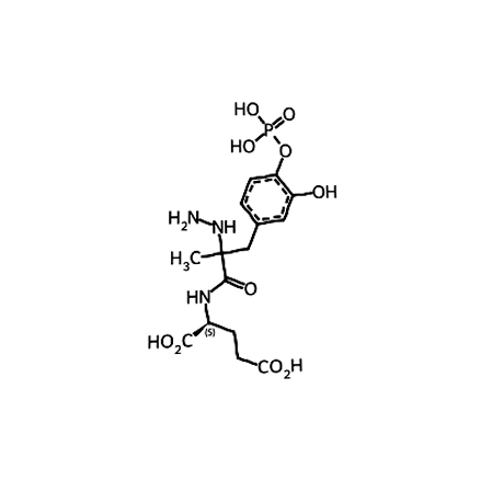 CC(Cc1ccc(OP(=O)(O)O)c(O)c1)(NN)C(=O)N[C@@H](CCC(=O)O)C(=O)O